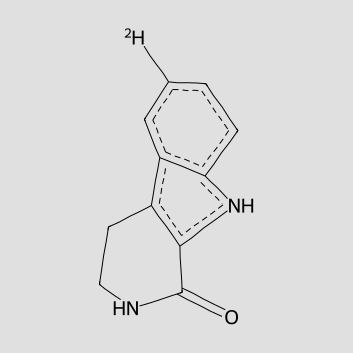 [2H]c1ccc2[nH]c3c(c2c1)CCNC3=O